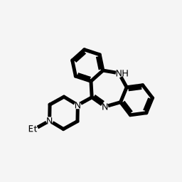 CCN1CCN(C2=Nc3ccccc3Nc3ccccc32)CC1